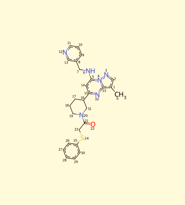 Cc1cnn2c(NCc3cccnc3)cc(C3CCCN(C(=O)CSc4ccccc4)C3)nc12